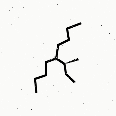 CCCCN(CCCC)[C@H](C)CC